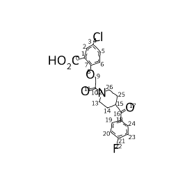 O=C(O)c1cc(Cl)ccc1OCC(=O)N1CCC(C(=O)c2ccc(F)cc2)CC1